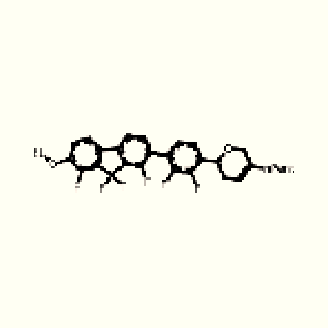 CCCCCC1=CCC(c2ccc(-c3ccc4c(c3F)C(F)(F)c3c-4ccc(OCC)c3F)c(F)c2F)OC1